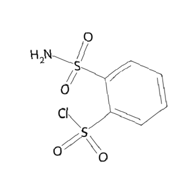 NS(=O)(=O)c1ccccc1S(=O)(=O)Cl